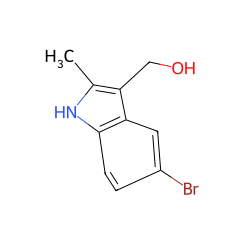 Cc1[nH]c2ccc(Br)cc2c1CO